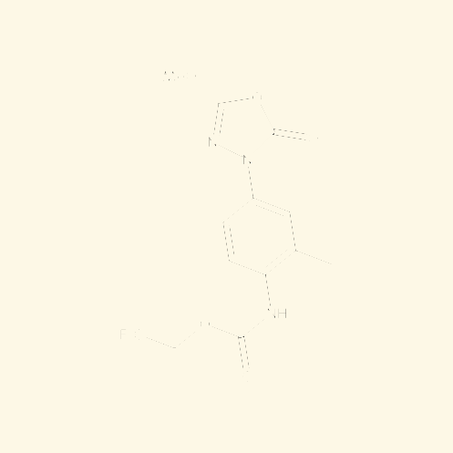 COc1nn(-c2ccc(NC(=O)OCC(F)(F)F)c(C)c2)c(=O)o1